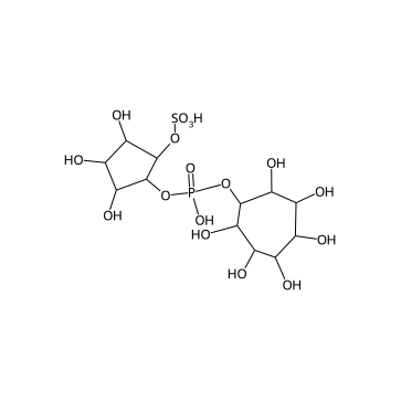 O=P(O)(OC1C(O)C(O)C(O)C(O)C(O)C1O)OC1C(O)C(O)C(O)C1OS(=O)(=O)O